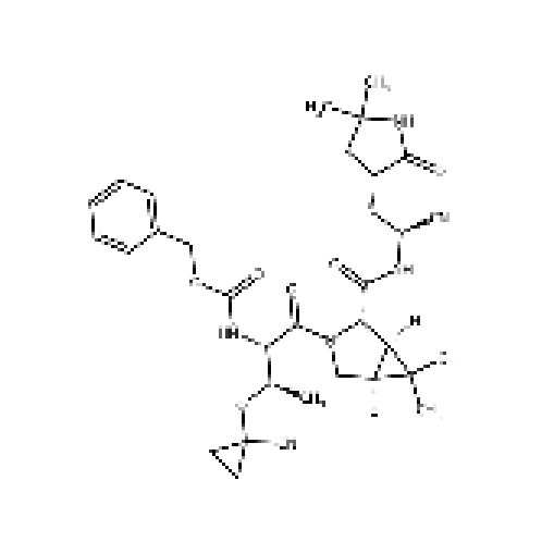 C[C@@H](OC1(C#N)CC1)[C@H](NC(=O)OCc1ccccc1)C(=O)N1C[C@H]2[C@@H]([C@H]1C(=O)N[C@H](C#N)C[C@@H]1CC(C)(C)NC1=O)C2(C)C